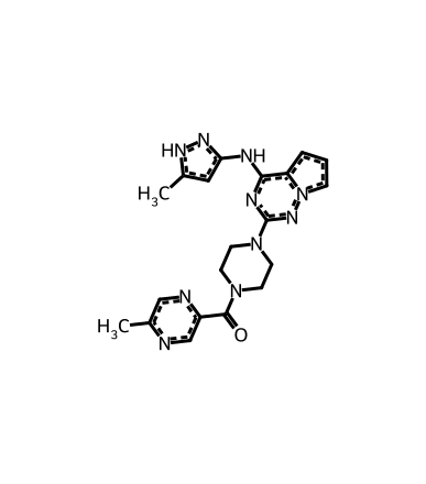 Cc1cnc(C(=O)N2CCN(c3nc(Nc4cc(C)[nH]n4)c4cccn4n3)CC2)cn1